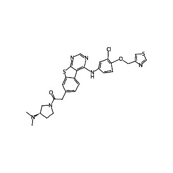 CN(C)[C@@H]1CCN(C(=O)Cc2ccc3c(c2)sc2ncnc(Nc4ccc(OCc5cscn5)c(Cl)c4)c23)C1